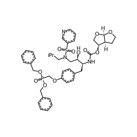 CC(C)CN(C[C@@H](O)[C@H](Cc1ccc(OCP(=O)(OCc2ccccc2)OCc2ccccc2)cc1)NC(=O)O[C@H]1CO[C@H]2OCC[C@H]21)S(=O)(=O)c1cccnc1